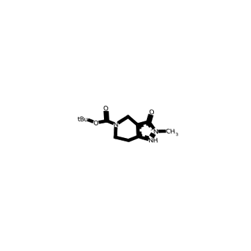 Cn1[nH]c2c(c1=O)CN(C(=O)OC(C)(C)C)CC2